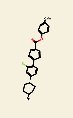 CCC[C@H]1CC[C@H](c2ccc(-c3ccc(C(=O)Oc4ccc(OC)cc4)cc3)c(F)c2)CC1